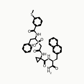 CSc1cccc(C(=O)NC(Cc2ccccc2)P(=O)(O)CC(=O)NC2(C(=O)N[C@@H](Cc3ccc4ccccc4c3)C(N)=O)CC2)c1